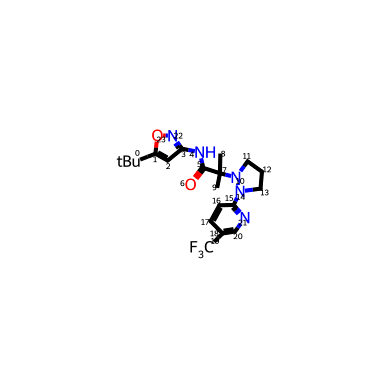 CC(C)(C)c1cc(NC(=O)C(C)(C)N2CCCN2c2ccc(C(F)(F)F)cn2)no1